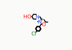 CCC[C@@H](CN1CCC(O)CC1)N(C)C(=O)c1ccc(Cl)cc1